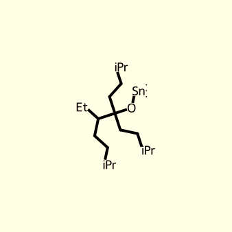 CCC(CCC(C)C)C(CCC(C)C)(CCC(C)C)[O][Sn]